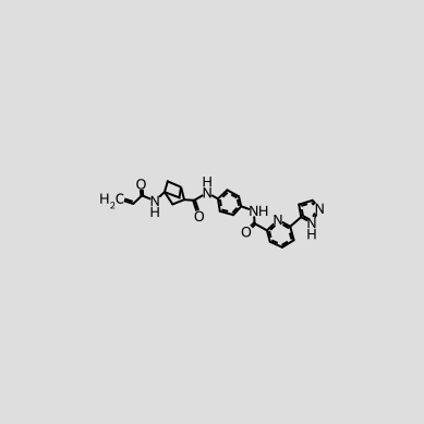 C=CC(=O)NC12CC(C1)C(C(=O)Nc1ccc(NC(=O)c3cccc(-c4ccn[nH]4)n3)cc1)C2